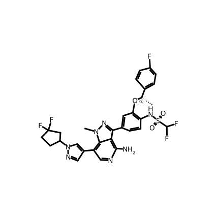 C[C@H](Oc1cc(-c2nn(C)c3c(-c4cnn(C5CCC(F)(F)C5)c4)cnc(N)c23)ccc1NS(=O)(=O)C(F)F)c1ccc(F)cc1